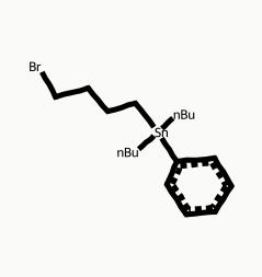 CCC[CH2][Sn]([CH2]CCC)([CH2]CCCBr)[c]1ccccc1